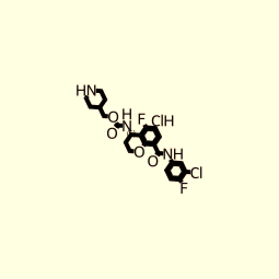 Cl.O=C(N[C@H]1CCOc2c(C(=O)Nc3ccc(F)c(Cl)c3)ccc(F)c21)OCC1CCNCC1